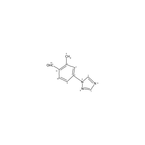 Cc1cc(-n2cncn2)ccc1C=O